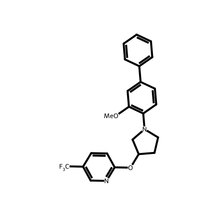 COc1cc(-c2ccccc2)ccc1N1CCC(Oc2ccc(C(F)(F)F)cn2)C1